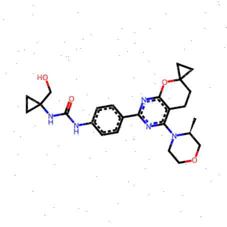 C[C@H]1COCCN1c1nc(-c2ccc(NC(=O)NC3(CO)CC3)cc2)nc2c1CCC1(CC1)O2